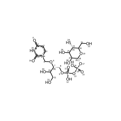 O=c1ccn(CO[C@H](COP(=O)(O)OP(=O)(O)O[C@H]2OC(CO)[C@@H](S)C(O)C2O)C(O)CO)c(=O)[nH]1